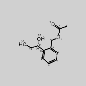 CC(=O)OCc1ccccc1[C@@H](O)CO